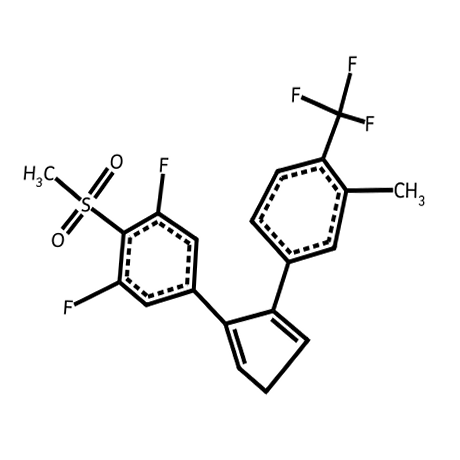 Cc1cc(C2=CCC=C2c2cc(F)c(S(C)(=O)=O)c(F)c2)ccc1C(F)(F)F